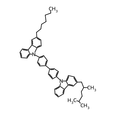 CCCCCCCc1ccc2c(c1)c1ccccc1n2-c1ccc(-c2ccc(-n3c4ccccc4c4cc(CC(C)CCC(C)C)ccc43)cc2)cc1